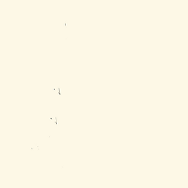 O=C(c1cccc(C#Cc2ccccc2)c1)N1CCN(c2ccc(C(F)(F)F)cc2)CC1